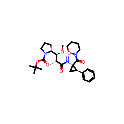 CO[C@H]([C@@H](C)C(=O)N[C@@]1(C(=O)N2CCCCO2)C[C@@H]1c1ccccc1)[C@@H]1CCCN1C(=O)OC(C)(C)C